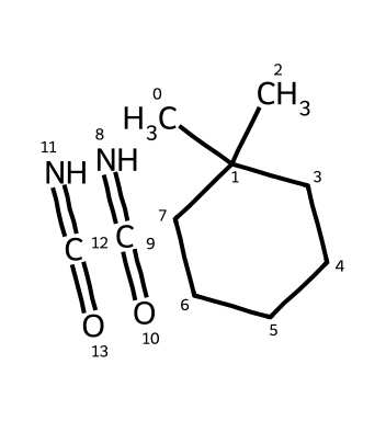 CC1(C)CCCCC1.N=C=O.N=C=O